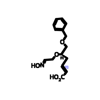 O=C(O)/C=C/C[C@H](COCc1ccccc1)OCC=NO